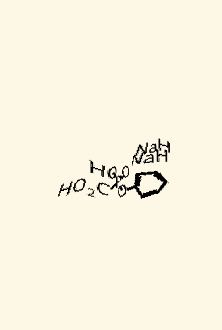 O=C(O)P(=O)(O)Oc1ccccc1.[NaH].[NaH]